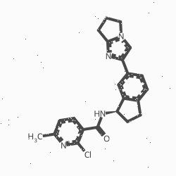 Cc1ccc(C(=O)N[C@@H]2CCc3ccc(-c4cn5c(n4)CCC5)cc32)c(Cl)n1